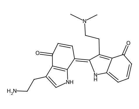 CN(C)CCc1c2c([nH]c1=C1C=CC(=O)c3c(CCN)c[nH]c31)=CC=CC2=O